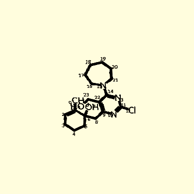 CC1=CCCCC1(O)Cc1nc(Cl)nc(N2CCCCCC2)c1CO